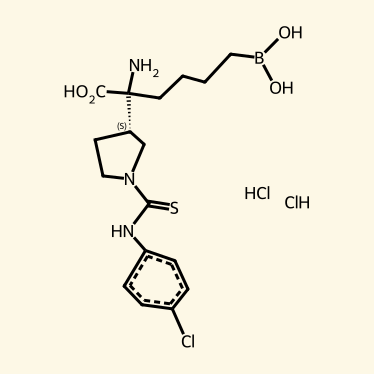 Cl.Cl.NC(CCCCB(O)O)(C(=O)O)[C@H]1CCN(C(=S)Nc2ccc(Cl)cc2)C1